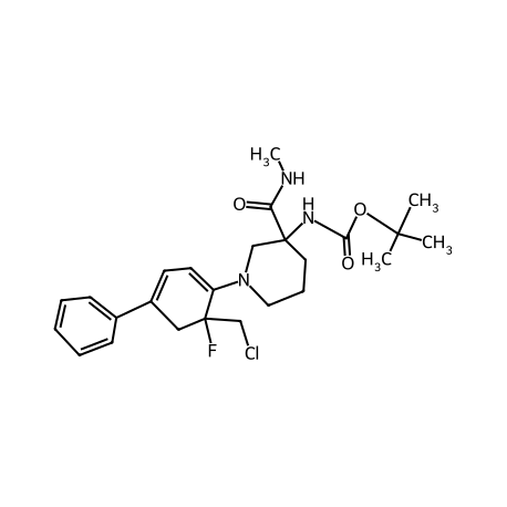 CNC(=O)C1(NC(=O)OC(C)(C)C)CCCN(C2=CC=C(c3ccccc3)CC2(F)CCl)C1